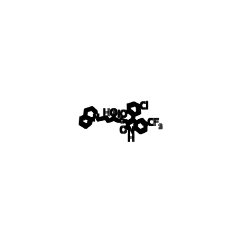 O=c1[nH]c2ccc(C(F)(F)F)cc2c(-c2cc(Cl)ccc2O)c1SCC(O)CCCN1CCCc2ccccc21